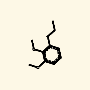 CC[CH]c1cccc(OC)c1OC